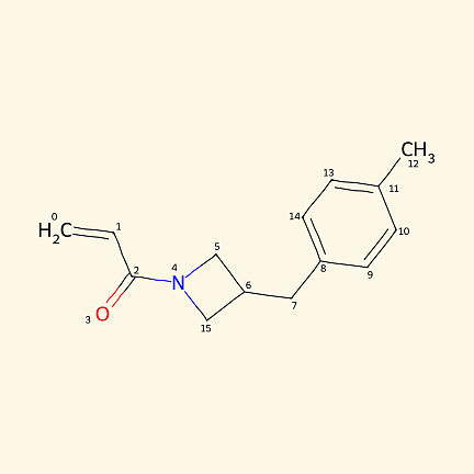 C=CC(=O)N1CC(Cc2ccc(C)cc2)C1